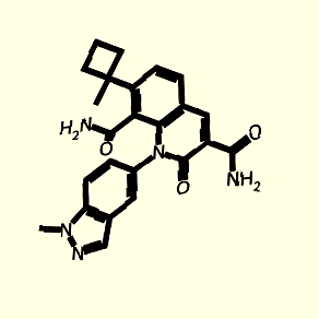 Cn1ncc2cc(-n3c(=O)c(C(N)=O)cc4ccc(C5(C)CCC5)c(C(N)=O)c43)ccc21